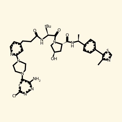 Cc1ncsc1-c1ccc([C@H](C)NC(=O)[C@@H]2C[C@@H](O)CN2C(=O)[C@@H](NC(=O)CCc2ccnc(N3CCN(c4cc(Cl)nnc4N)CC3)c2)C(C)(C)C)cc1